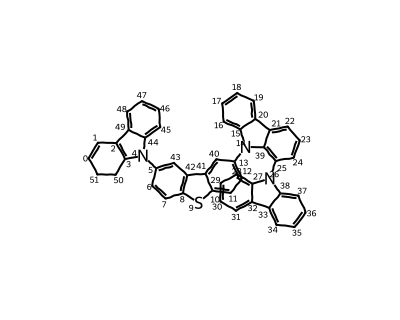 C1=Cc2c(n(-c3ccc4sc5ccc(-n6c7ccccc7c7cccc(-n8c9ccccc9c9ccccc98)c76)cc5c4c3)c3ccccc23)CC1